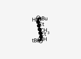 CCc1cc(-c2ccc(-c3ccc(-c4ccc(NC(=O)OC(C)(C)C)cc4)c(CC)c3)c(C)c2)ccc1-c1ccc(NC(=O)OC(C)(C)C)cc1